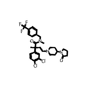 CN(Cc1ccc(C(F)(F)F)cc1)C(=O)C(C)(CCN1CCC(N2CCCC2=O)CC1)c1ccc(Cl)c(Cl)c1